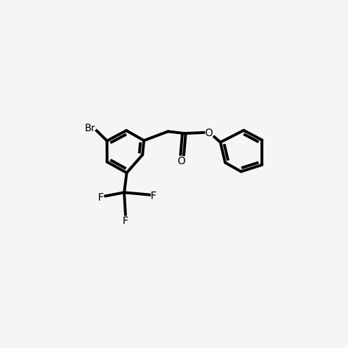 O=C(Cc1cc(Br)cc(C(F)(F)F)c1)Oc1ccccc1